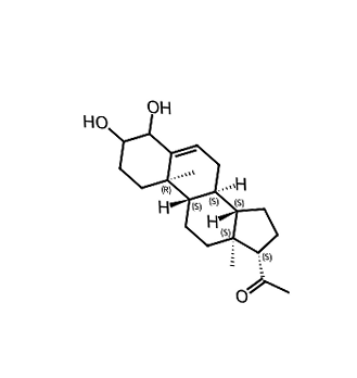 CC(=O)[C@H]1CC[C@H]2[C@@H]3CC=C4C(O)C(O)CC[C@]4(C)[C@H]3CC[C@]12C